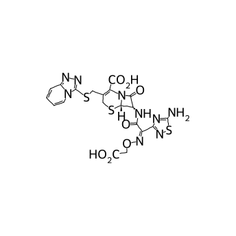 Nc1nc(/C(=N/OCC(=O)O)C(=O)N[C@@H]2C(=O)N3C(C(=O)O)=C(CSc4nnc5ccccn45)CS[C@@H]23)ns1